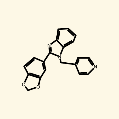 c1ccc2c(c1)nc(-c1ccc3c(c1)OCO3)n2Cc1ccncc1